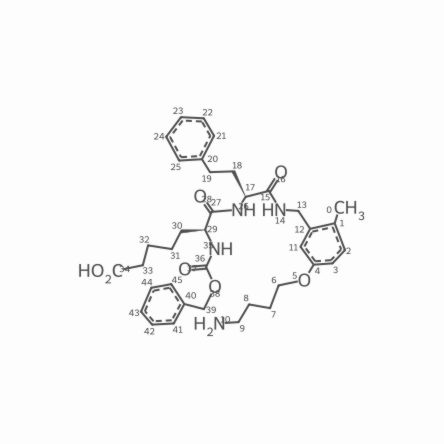 Cc1ccc(OCCCCN)cc1CNC(=O)[C@H](CCc1ccccc1)NC(=O)[C@H](CCCCC(=O)O)NC(=O)OCc1ccccc1